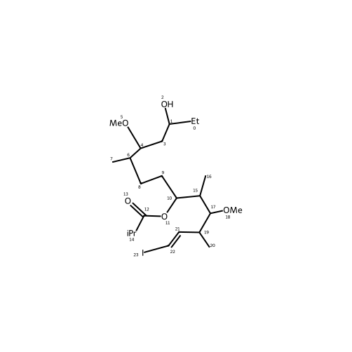 CCC(O)CC(OC)C(C)CCC(OC(=O)C(C)C)C(C)C(OC)C(C)/C=C/I